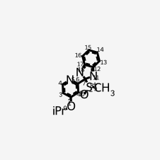 CC(C)Oc1ccnc(C2([S+](C)[O-])N=c3ccccc3=N2)c1